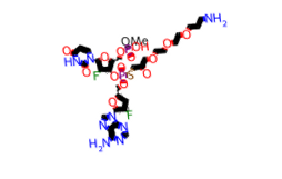 COP(=O)(O)OC[C@H]1O[C@@H](n2ccc(=O)[nH]c2=O)[C@H](F)[C@@H]1OP(=O)(OC[C@@H]1C[C@@H](F)[C@H](n2cnc3c(N)ncnc32)O1)SCC(=O)COCCOCCOCCCN